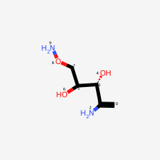 C=C(N)[C@@H](O)C(O)CON